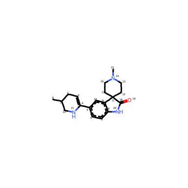 CC1CC=C(c2ccc3c(c2)C2(CCN(C)CC2)C(=O)N3)NC1